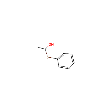 CC(O)Sc1ccccc1